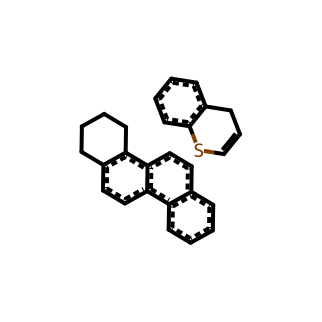 C1=CSc2ccccc2C1.c1ccc2c(c1)ccc1c3c(ccc12)CCCC3